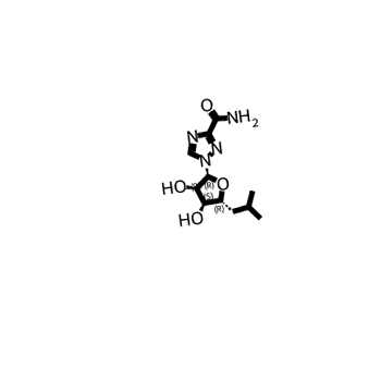 CC(C)C[C@H]1O[C@@H](n2cnc(C(N)=O)n2)[C@H](O)[C@@H]1O